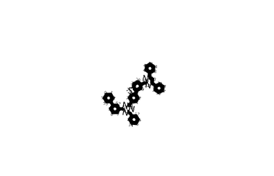 c1ccc(-c2cccc(-c3nc(-c4ccccc4)nc(-c4ccc5c(c4)sc4ccc(-c6nc(-c7ccccc7)cc(-c7ccccc7)n6)cc45)n3)c2)cc1